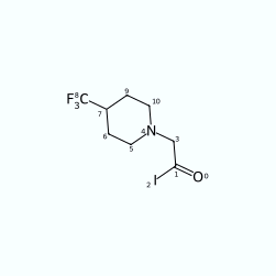 O=C(I)CN1CCC(C(F)(F)F)CC1